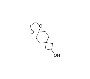 OC1CC2(CCC3(CC2)OCCO3)C1